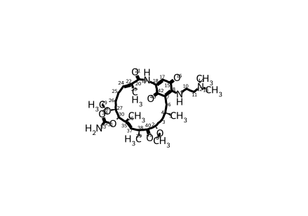 CO[C@H]1C[C@H](C)CC2=C(NCCN(C)C)C(=O)C=C(NC(=O)/C(C)=C/CC[C@H](OC)[C@@H](OC(N)=O)/C(C)=C/[C@H](C)C1=O)C2=O